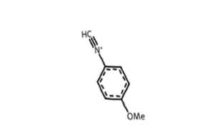 C#[N+]c1ccc(OC)cc1